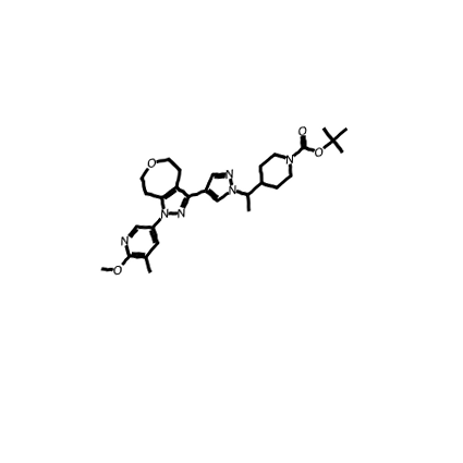 COc1ncc(-n2nc(-c3cnn(C(C)C4CCN(C(=O)OC(C)(C)C)CC4)c3)c3c2CCOCC3)cc1C